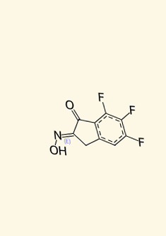 O=C1/C(=N/O)Cc2cc(F)c(F)c(F)c21